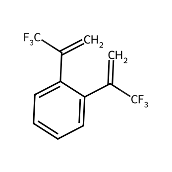 C=C(c1ccccc1C(=C)C(F)(F)F)C(F)(F)F